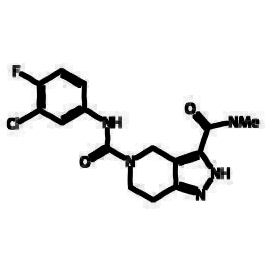 CNC(=O)c1[nH]nc2c1CN(C(=O)Nc1ccc(F)c(Cl)c1)CC2